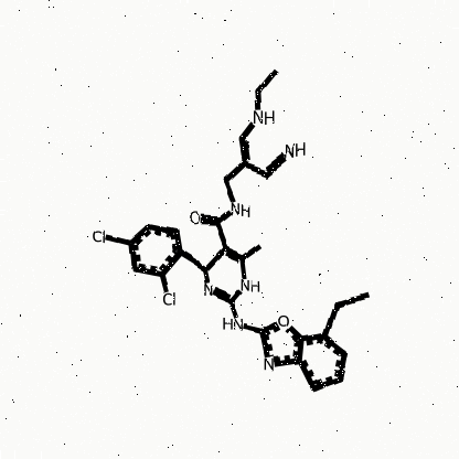 CCN/C=C(\C=N)CNC(=O)C1=C(C)NC(Nc2nc3cccc(CC)c3o2)=NC1c1ccc(Cl)cc1Cl